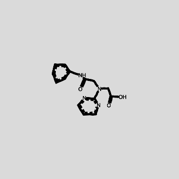 O=C(O)CN(CC(=O)Nc1ccccc1)c1ncccn1